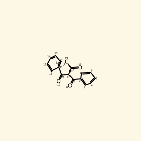 O=C(c1ccccc1)C(C(=O)c1ccccc1)C(=O)C(F)(F)F